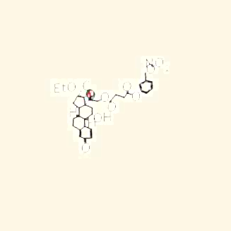 CCOC(=O)O[C@@H]1CCC2[C@@H]3CCC4=CC(=O)C=C[C@]4(C)[C@H]3[C@@H](O)C[C@@]21C(=O)COC(=O)CCC(=O)Oc1cccc(CO[N+](=O)[O-])c1